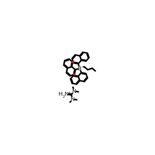 CCCC[B-](c1cccc2ccccc12)(c1cccc2ccccc12)c1cccc2ccccc12.CN(C)C(=[NH2+])N(C)C